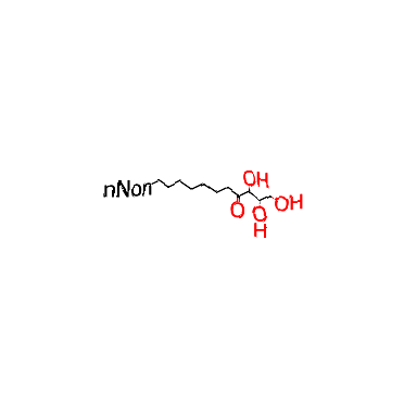 CCCCCCCCCCCCCCCCC(=O)C(O)[C@@H](O)CO